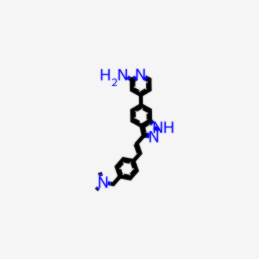 CN(C)Cc1ccc(C=Cc2n[nH]c3cc(-c4ccnc(N)c4)ccc23)cc1